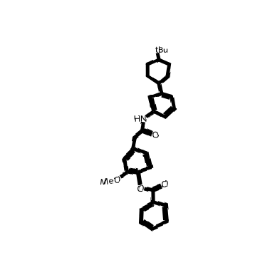 COc1cc(CC(=O)Nc2cccc(C3CCC(C(C)(C)C)CC3)c2)ccc1OC(=O)c1ccccc1